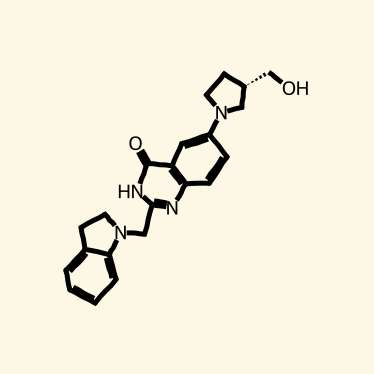 O=c1[nH]c(CN2CCc3ccccc32)nc2ccc(N3CC[C@H](CO)C3)cc12